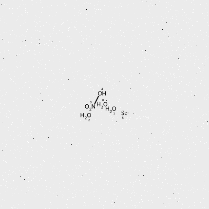 O.O.O.O=[N+]([O-])O.[Sc]